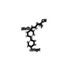 CCCCCCC[C@H]1CC[C@H]([C@H]2CC[C@@](C=CC=C(F)C#N)(OC)CC2)CC1